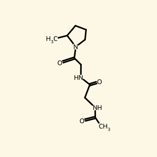 CC(=O)NCC(=O)NCC(=O)N1CCCC1C